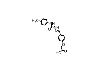 Cc1ccc(NC(=O)N/N=C/c2ccc(OCC(=O)O)cc2)cc1